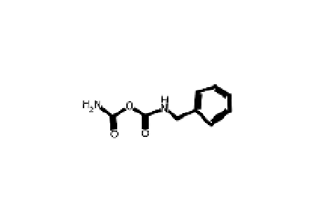 NC(=O)OC(=O)NCc1ccccc1